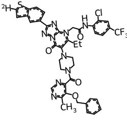 [2H]c1cc2cc(-c3nc4n(CC(=O)Nc5ccc(C(F)(F)F)cc5Cl)c(CC)c(N5CCN(C(=O)c6ncnc(C)c6OCc6ccccc6)CC5)c(=O)n4n3)ccc2s1